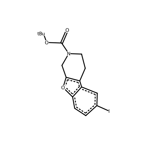 CC(C)(C)OC(=O)N1CCc2c(oc3ccc(I)cc23)C1